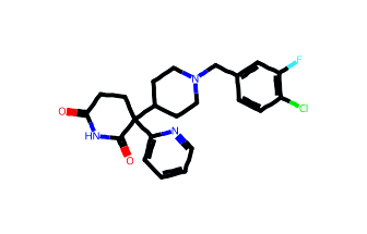 O=C1CCC(c2ccccn2)(C2CCN(Cc3ccc(Cl)c(F)c3)CC2)C(=O)N1